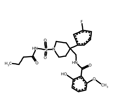 CCCC(=O)NS(=O)(=O)N1CCC(CNC(=O)c2c(O)cccc2OC)(c2cccc(F)c2)CC1